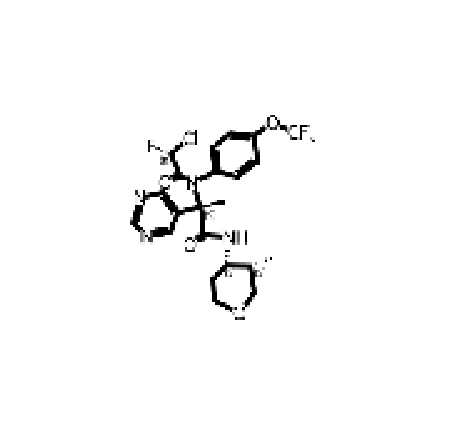 C[C@@H]1COCC[C@@H]1NC(=O)[C@](C)(c1cncnc1)N(C(=O)[C@H](F)Cl)c1ccc(OC(F)(F)F)cc1